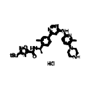 Cc1cc(-c2cc(Nc3ccc(N4CCNCC4)c(C)n3)ncn2)ccc1[C@@H](C)NC(=O)c1nc(C(C)(C)C)no1.Cl